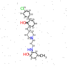 Cc1ccc(O)c(NCCCN2CCC(Cc3cccc(-c4ccc(Cl)cc4)c3O)CC2)c1